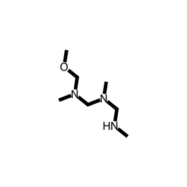 CNCN(C)CN(C)COC